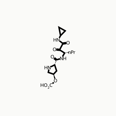 CCC[C@H](NC(=O)[C@@H]1C[C@@H](OC(=O)O)CN1)C(=O)C(=O)NC1CC1